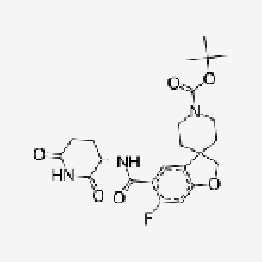 CC(C)(C)OC(=O)N1CCC2(CC1)COc1cc(F)c(C(=O)N[C@H]3CCC(=O)NC3=O)cc12